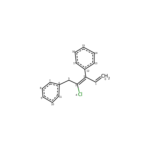 C=CC(=C(Cl)Cc1ccccc1)c1ccccc1